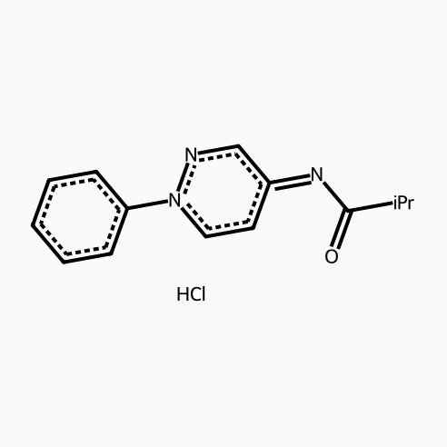 CC(C)C(=O)N=c1ccn(-c2ccccc2)nc1.Cl